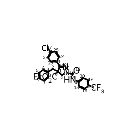 CCOC(=O)C1(Cc2ccccc2)CN(C(=O)Nc2ccc(C(F)(F)F)cc2)N=C1c1ccc(Cl)cc1